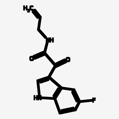 C=CCNC(=O)C(=O)c1c[nH]c2ccc(F)cc12